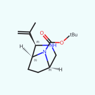 C=C(C)[C@H]1NC[C@H]2CC[C@@H]1N2C(=O)OC(C)(C)C